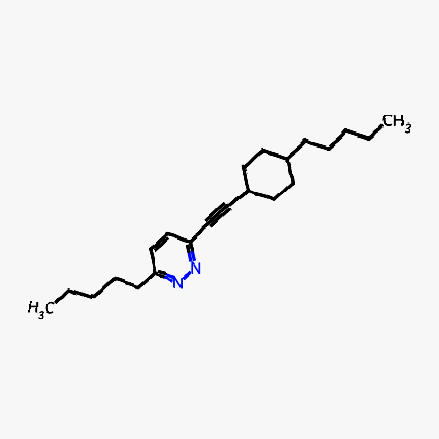 CCCCCc1ccc(C#CC2CCC(CCCCC)CC2)nn1